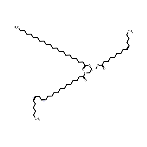 CCCC/C=C\CCCCCCCC(=O)OC[C@H](COC(=O)CCCCCCCCCCC/C=C\C/C=C\CCCCC)OC(=O)CCCCCCCCCCCCCCCCCCCCC